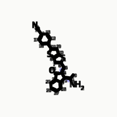 C/C(N)=C1\C(=C\c2cc3sc(-c4ccc(C#N)cc4)cc3s2)C(=O)c2ccccc21